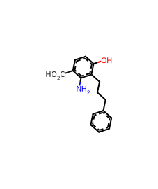 Nc1c(C(=O)O)ccc(O)c1CCCc1ccccc1